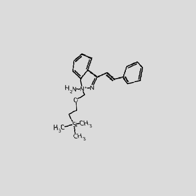 C[Si](C)(C)CCOC[N+]1(N)N=C(C=Cc2ccccc2)c2ccccc21